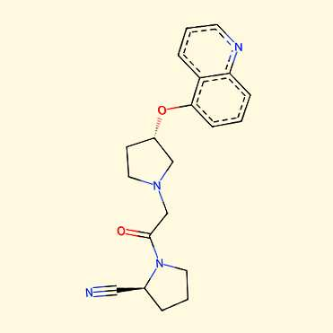 N#C[C@@H]1CCCN1C(=O)CN1CC[C@H](Oc2cccc3ncccc23)C1